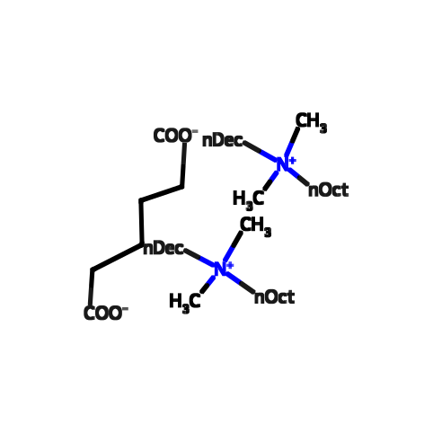 CCCCCCCCCC[N+](C)(C)CCCCCCCC.CCCCCCCCCC[N+](C)(C)CCCCCCCC.O=C([O-])CCCCC(=O)[O-]